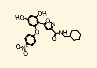 O=C(NCC1CCCCC1)c1cc(-c2c(O)cc(O)cc2Oc2ccc([N+](=O)[O-])cc2)on1